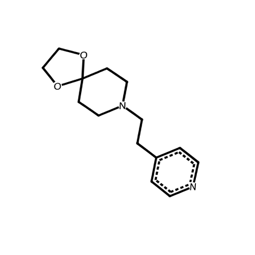 c1cc(CCN2CCC3(CC2)OCCO3)ccn1